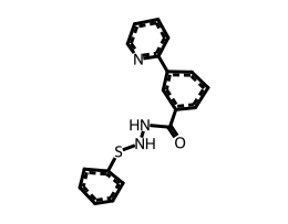 O=C(NNSc1ccccc1)c1cccc(-c2ccccn2)c1